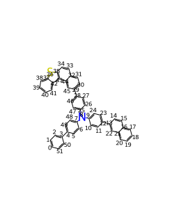 c1ccc(-c2ccc(N(c3ccc(-c4ccc5ccccc5c4)cc3)c3ccc(-c4ccc5ccc6sc7ccccc7c6c5c4)cc3)cc2)cc1